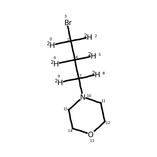 [2H]C([2H])(Br)C([2H])([2H])C([2H])([2H])N1CCOCC1